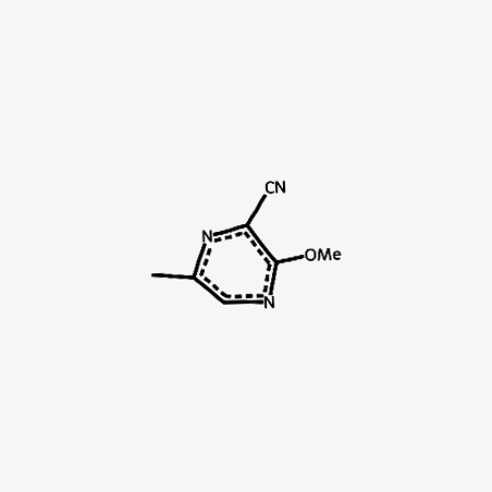 COc1ncc(C)nc1C#N